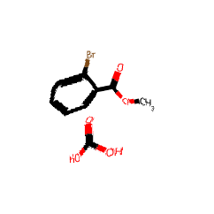 COC(=O)c1ccccc1Br.O=C(O)O